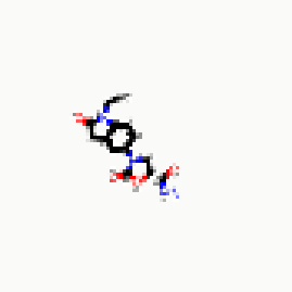 CC(C)CN1C(=O)Cc2cc(N3C[C@H](C(N)=O)OC3=O)ccc21